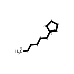 CCCCCCC1=CCCC1